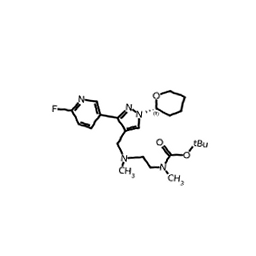 CN(CCN(C)C(=O)OC(C)(C)C)Cc1cn([C@H]2CCCCO2)nc1-c1ccc(F)nc1